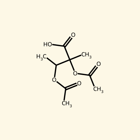 CC(=O)OC(C)C(C)(OC(C)=O)C(=O)O